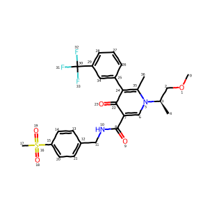 COC[C@@H](C)n1cc(C(=O)NCc2ccc(S(C)(=O)=O)cc2)c(=O)c(-c2cccc(C(F)(F)F)c2)c1C